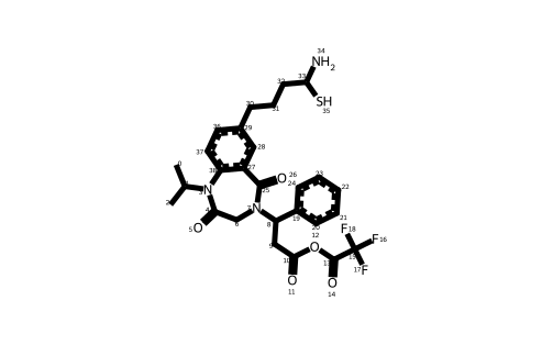 CC(C)N1C(=O)CN(C(CC(=O)OC(=O)C(F)(F)F)c2ccccc2)C(=O)c2cc(CCCC(N)S)ccc21